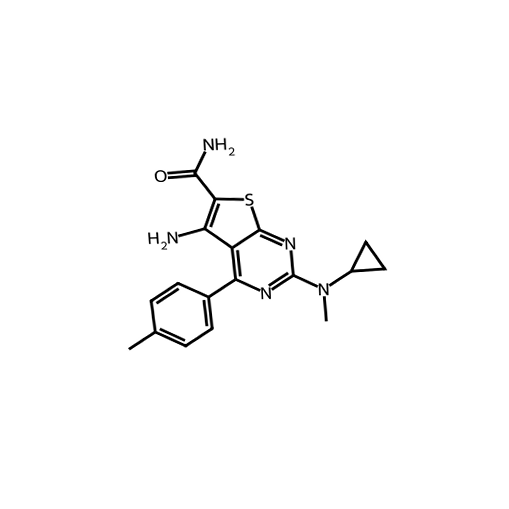 Cc1ccc(-c2nc(N(C)C3CC3)nc3sc(C(N)=O)c(N)c23)cc1